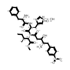 CC[C@H](C)[C@@H](C(=O)OC)N(C(=O)CC(O)[C@@H](N)Cc1ccc([N+](=O)[O-])cc1)C(=O)[C@H](Cc1c[nH]cn1)NC(=O)[C@@H](N)Cc1ccccc1.Cl.Cl